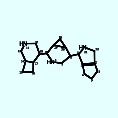 C1CC2=C(C1)C(C1CNC(C3CNCC4CCC43)C3CC13)NC2